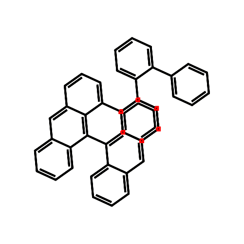 c1ccc(-c2ccccc2-c2ccccc2-c2cccc3cc4ccccc4c(-c4c5ccccc5cc5ccccc45)c23)cc1